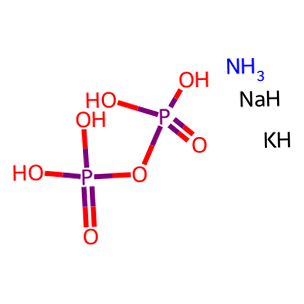 N.O=P(O)(O)OP(=O)(O)O.[KH].[NaH]